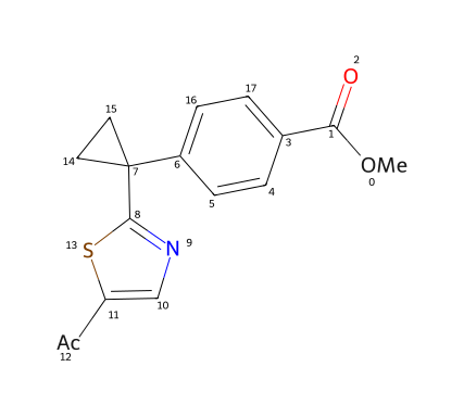 COC(=O)c1ccc(C2(c3ncc(C(C)=O)s3)CC2)cc1